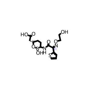 O=C(O)C[C@@H]1CCC(NC(=O)/C(=N\OCCO)c2cccs2)B(O)O1